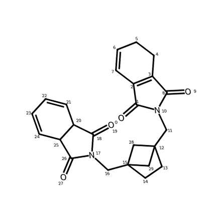 O=C1C2=C(CCC=C2)C(=O)N1CC12CCC(CN3C(=O)C4C=CC=CC4C3=O)(C1)C2